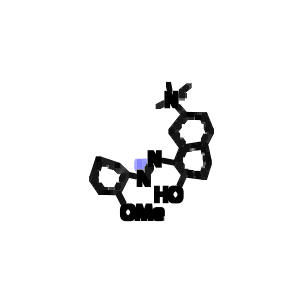 COc1ccccc1/N=N/c1c(O)ccc2ccc([N+](C)(C)C)cc12